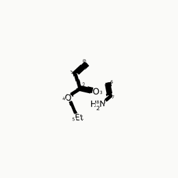 C=CC(=O)OCC.C=CN